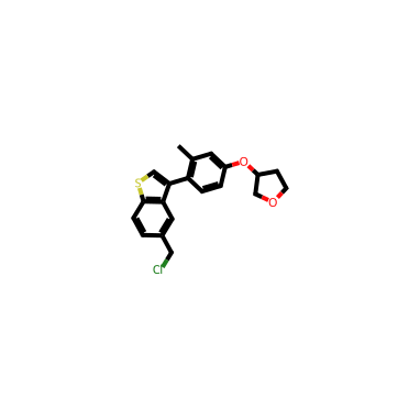 Cc1cc(OC2CCOC2)ccc1-c1csc2ccc(CCl)cc12